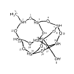 C[SiH]1O[SiH]2O[SiH]3O[SiH](O)O[SiH]4O[SiH](O1)O[SiH](O2)O[SiH](O3)O4